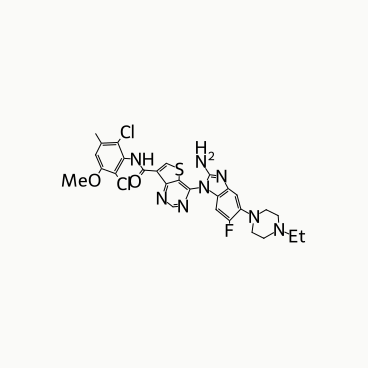 CCN1CCN(c2cc3nc(N)n(-c4ncnc5c(C(=O)Nc6c(Cl)c(C)cc(OC)c6Cl)csc45)c3cc2F)CC1